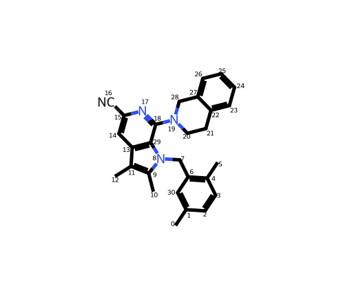 Cc1ccc(C)c(Cn2c(C)c(C)c3cc(C#N)nc(N4CCc5ccccc5C4)c32)c1